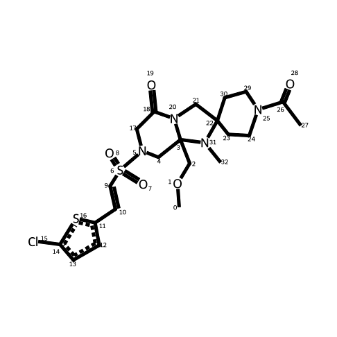 COCC12CN(S(=O)(=O)C=Cc3ccc(Cl)s3)CC(=O)N1CC1(CCN(C(C)=O)CC1)N2C